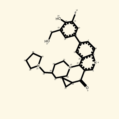 O=C(c1cnc2ccc(-c3cc(F)c(O)c(CO)c3)cc2c1N1CCC(CN2CCCC2)CC1)C1CC1